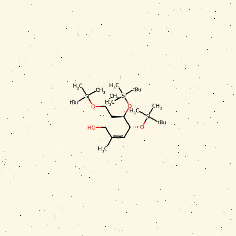 CC(=C[C@@H](O[Si](C)(C)C(C)(C)C)[C@@H](C[C@@H](C)O[Si](C)(C)C(C)(C)C)O[Si](C)(C)C(C)(C)C)CO